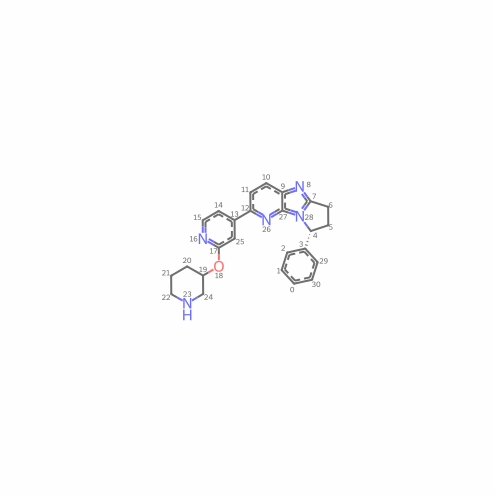 c1ccc([C@H]2CCc3nc4ccc(-c5ccnc(OC6CCCNC6)c5)nc4n32)cc1